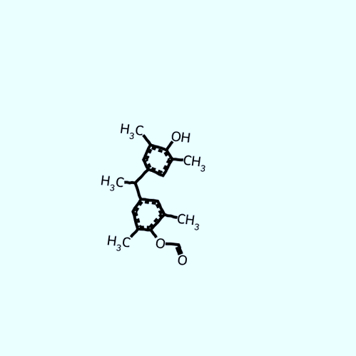 Cc1cc(C(C)c2cc(C)c(OC=O)c(C)c2)cc(C)c1O